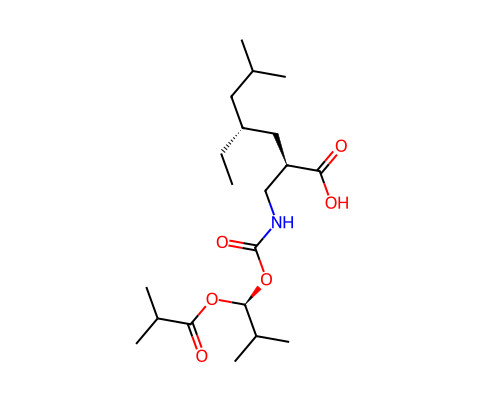 CC[C@H](CC(C)C)C[C@H](CNC(=O)O[C@H](OC(=O)C(C)C)C(C)C)C(=O)O